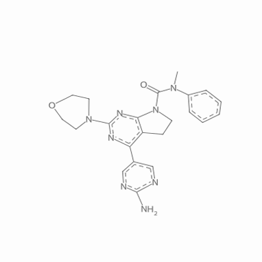 CN(C(=O)N1CCc2c(-c3cnc(N)nc3)nc(N3CCOCC3)nc21)c1ccccc1